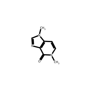 Cn1ccc2c(ncn2C)c1=O